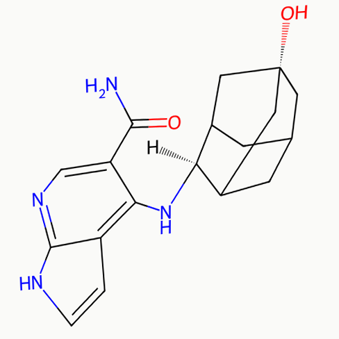 NC(=O)c1cnc2[nH]ccc2c1N[C@H]1C2CC3CC1C[C@](O)(C3)C2